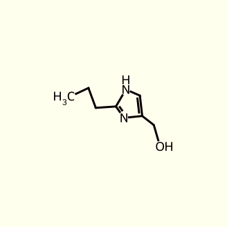 CCCc1nc(CO)c[nH]1